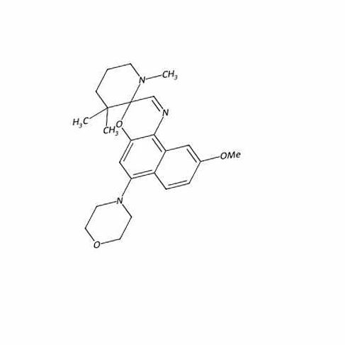 COc1ccc2c(N3CCOCC3)cc3c(c2c1)N=CC1(O3)N(C)CCCC1(C)C